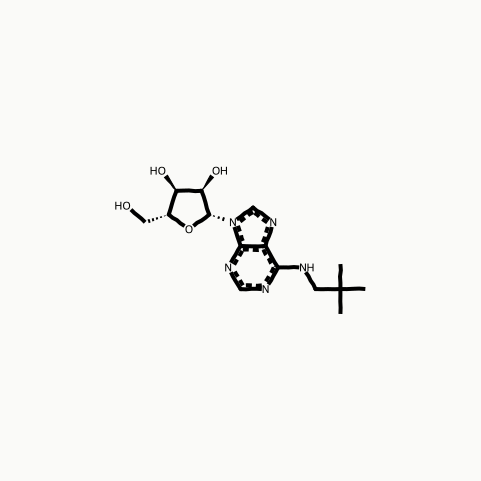 CC(C)(C)CNc1ncnc2c1ncn2[C@@H]1O[C@H](CO)[C@@H](O)[C@H]1O